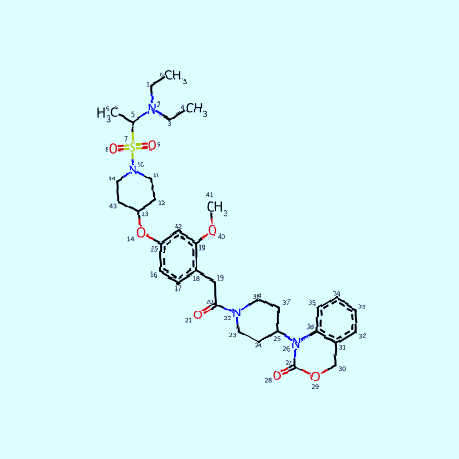 CCN(CC)C(C)S(=O)(=O)N1CCC(Oc2ccc(CC(=O)N3CCC(N4C(=O)OCc5ccccc54)CC3)c(OC)c2)CC1